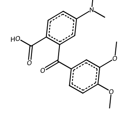 COc1ccc(C(=O)c2cc(N(C)C)ccc2C(=O)O)cc1OC